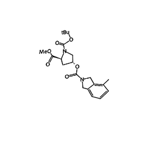 COC(=O)[C@@H]1C[C@@H](OC(=O)N2Cc3cccc(C)c3C2)CN1C(=O)OC(C)(C)C